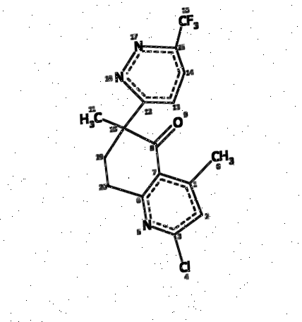 Cc1cc(Cl)nc2c1C(=O)C(C)(c1ccc(C(F)(F)F)nn1)CC2